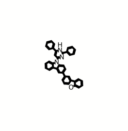 C1=C(c2ccccc2)NC(c2ccccc2)N=C1n1c2ccccc2c2cc(-c3ccc4oc5ccccc5c4c3)ccc21